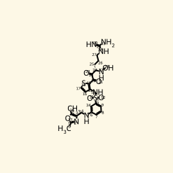 Cc1nc(CNc2cccc(S(=O)(=O)Nc3ccsc3C(=O)C(=O)[C@H](CCCNC(=N)N)NO)c2)c(C)o1